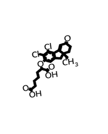 CCC12CCC(=O)C=C1c1c(cc(OC(CCCCC(=O)O)C(=O)O)c(Cl)c1Cl)C2